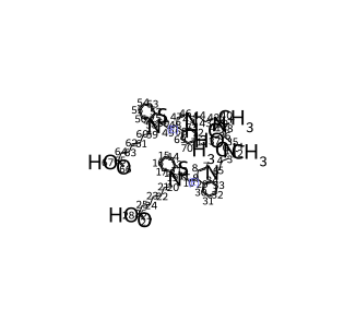 C[N+](C)(CCCN1C=C/C(=C\c2sc3ccccc3[n+]2CCCCCCC(=O)O)c2ccccc21)CC(O)C[N+](C)(C)CCCN1C=C/C(=C\c2sc3ccccc3[n+]2CCCCCCC(=O)O)c2ccccc21